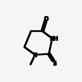 CN1CCC(=O)NC1=S